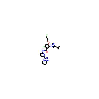 O=C(Nc1cccc(-c2nnc3n2CCCC3)n1)c1cc(-n2cnc(C3CC3)c2)c(OCCCF)cc1F